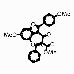 COC(=O)C(=Cc1ccccc1)C(=O)c1c(-c2ccc(OC)cc2)oc2cc(OC)cc(OC)c12